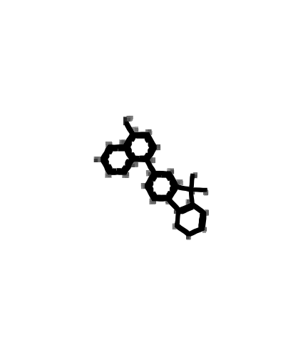 CC1(C)C2=C(CCC=C2)c2ccc(-c3ccc(I)c4ccccc34)cc21